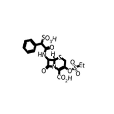 CCS(=O)(=O)OC1=C(C(=O)O)N2C(=O)C(NC(=O)C(c3ccccc3)S(=O)(=O)O)[C@@H]2SC1